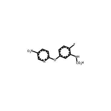 O=C(O)Nc1cc(Oc2ccc([N+](=O)[O-])cn2)ccc1F